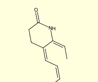 C\C=C/C=C1/CCC(=O)N/C1=C/C